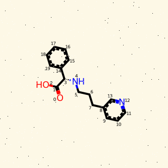 O=C(O)[C@@H](NCCCc1cccnc1)c1ccccc1